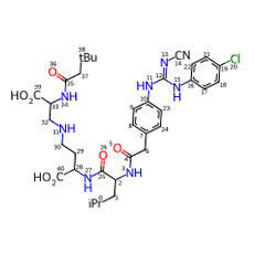 CC(C)CC(NC(=O)Cc1ccc(NC(=NC#N)Nc2ccc(Cl)cc2)cc1)C(=O)NC(CCNCC(NC(=O)CC(C)(C)C)C(=O)O)C(=O)O